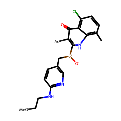 COCCNc1ccc(C[S+]([O-])c2[nH]c3c(C)ccc(Cl)c3c(=O)c2C(C)=O)cn1